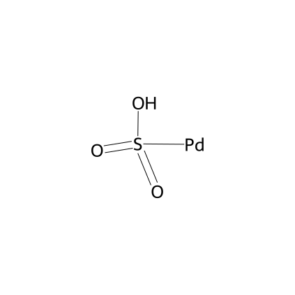 O=[S](=O)(O)[Pd]